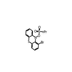 CCCS(=O)(=O)ON1c2ccccc2Sc2cccc(Br)c21